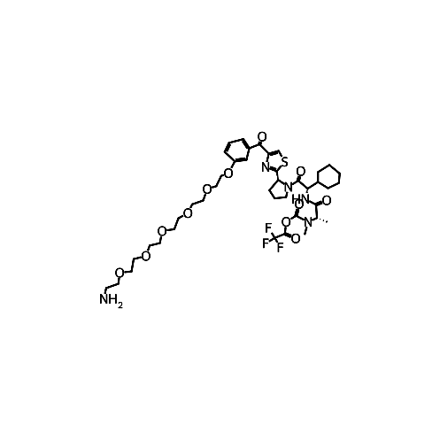 C[C@@H](C(=O)N[C@H](C(=O)N1CCC[C@H]1c1nc(C(=O)c2cccc(OCCOCCOCCOCCOCCOCCN)c2)cs1)C1CCCCC1)N(C)C(=O)OC(=O)C(F)(F)F